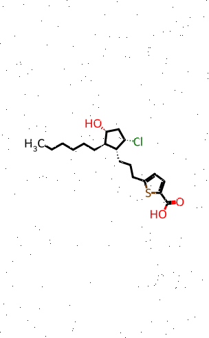 CCCCCC[C@@H]1[C@@H](CCCc2ccc(C(=O)O)s2)[C@@H](Cl)C[C@H]1O